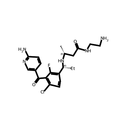 CC[C@@H](N[C@H](C)CC(=O)NCCN)c1ccc(Cl)c(C(=O)c2ccc(N)nc2)c1F